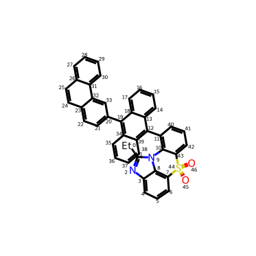 CCc1nc2cccc3c2n1-c1c(-c2c4ccccc4c(-c4ccc5ccc6ccccc6c5c4)c4ccccc24)cccc1S3(=O)=O